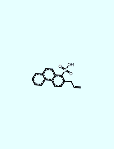 C=CCc1ccc2c(ccc3ccccc32)c1S(=O)(=O)O